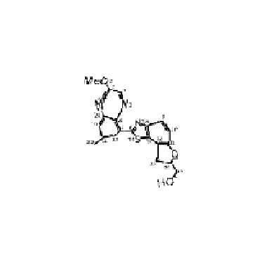 COc1cnc2c(-c3nc4ccc5c(c4s3)C[C@H](CO)O5)cc(C)cc2n1